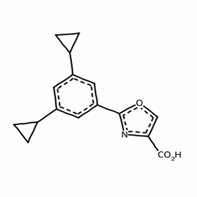 O=C(O)c1coc(-c2cc(C3CC3)cc(C3CC3)c2)n1